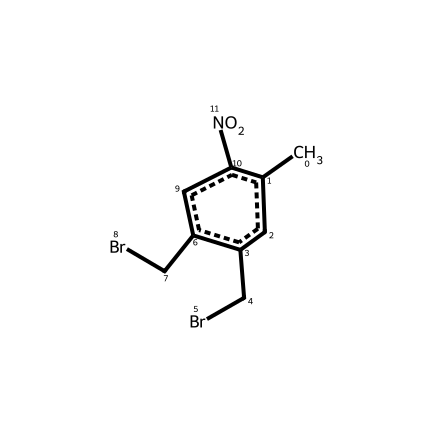 Cc1cc(CBr)c(CBr)cc1[N+](=O)[O-]